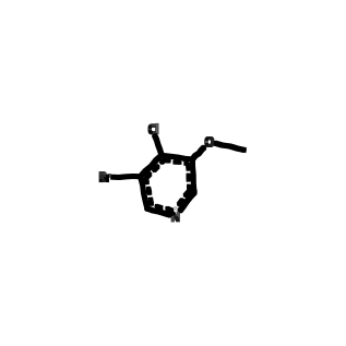 COc1cncc(Br)c1Cl